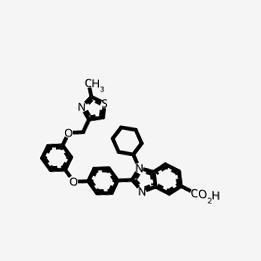 Cc1nc(COc2cccc(Oc3ccc(-c4nc5cc(C(=O)O)ccc5n4C4CCCCC4)cc3)c2)cs1